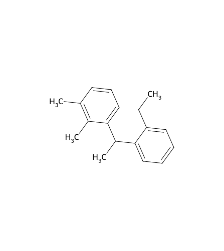 CCc1ccccc1C(C)c1cccc(C)c1C